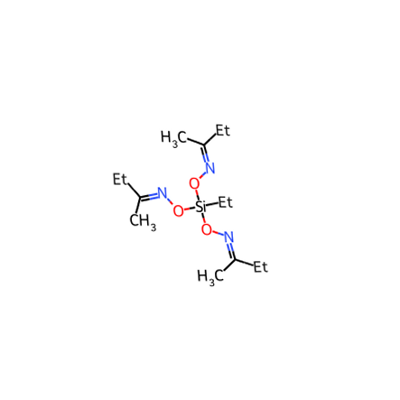 CCC(C)=NO[Si](CC)(ON=C(C)CC)ON=C(C)CC